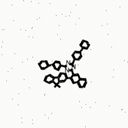 CC1(C)c2ccccc2-c2ccc(-c3cc4ccccc4cc3-c3nc(-c4ccc(-c5ccccc5)cc4)nc(-c4ccc(-c5ccccc5)cc4)n3)cc21